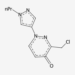 CCCn1cc(-n2ccc(=O)c(CCl)n2)cn1